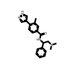 Cc1cc(C(=O)NC(CN(C)C)c2ccccc2)ccc1-c1cn[nH]c1